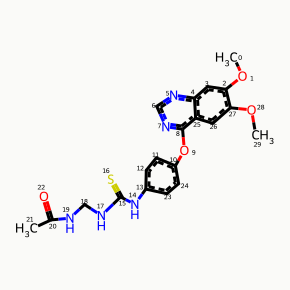 COc1cc2ncnc(Oc3ccc(NC(=S)NCNC(C)=O)cc3)c2cc1OC